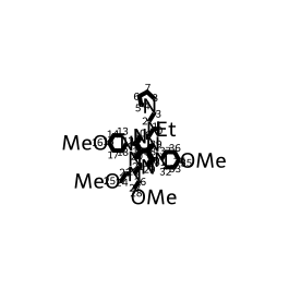 CCN(CCN1CCCC1)c1nc(N2CCC(OC)CC2)c2nc(N(CCOC)CCOC)nc(N3CCC(OC)CC3)c2n1